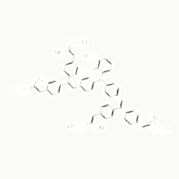 Cc1cccc(N(c2ccc(C=C(c3ccc(/C=C(\C#N)C(=O)O)cc3)c3ccc(/C=C(\C#N)C(=O)O)cc3)cc2)c2ccc(C=C(c3ccc(/C=C(\C#N)C(=O)O)cc3)c3ccc(/C=C(\C#N)C(=O)O)cc3)cc2)c1C